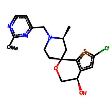 COc1nccc(CN2CC[C@]3(C[C@@H]2C)OC[C@H](O)c2cc(Cl)sc23)n1